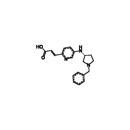 O=C(O)C=Cc1ccc(N[C@@H]2CCN(Cc3ccccc3)C2)cn1